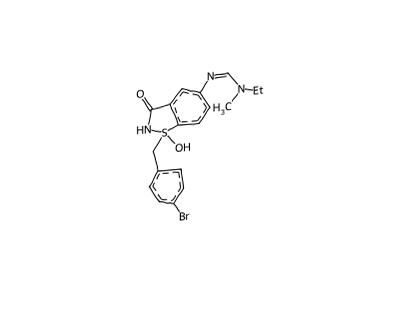 CCN(C)/C=N\c1ccc2c(c1)C(=O)NS2(O)Cc1ccc(Br)cc1